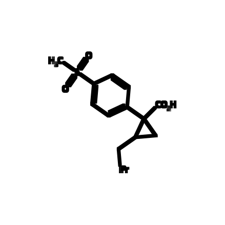 CC(C)CC1CC1(C(=O)O)c1ccc(S(C)(=O)=O)cc1